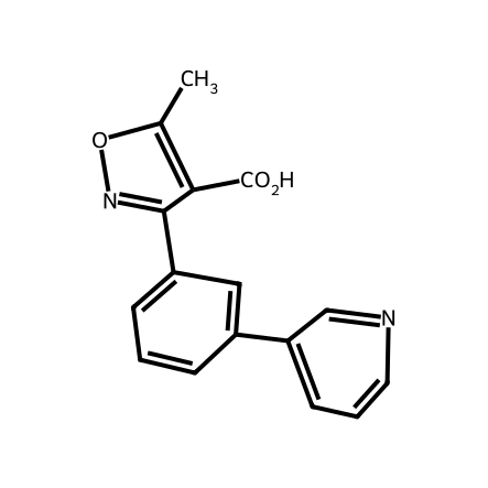 Cc1onc(-c2cccc(-c3cccnc3)c2)c1C(=O)O